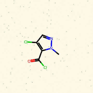 Cn1ncc(Cl)c1C(=O)Cl